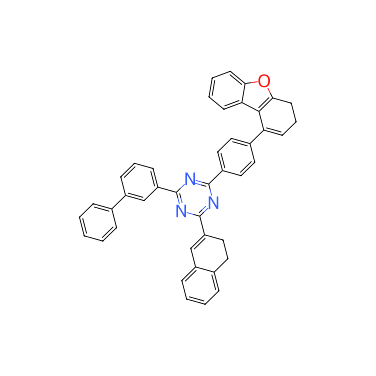 C1=C(c2nc(-c3ccc(C4=CCCc5oc6ccccc6c54)cc3)nc(-c3cccc(-c4ccccc4)c3)n2)CCc2ccccc21